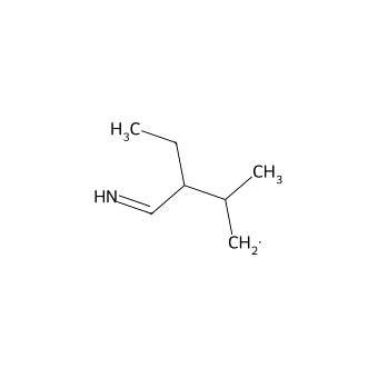 [CH2]C(C)C(C=N)CC